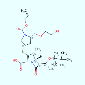 C=CCOC(=O)N1C[C@@H](SC2=C(C(=O)O)N3C(=O)[C@H]([C@@H](C)O[Si](C)(C)C(C)(C)C)[C@H]3[C@H]2C)C[C@H]1COCCO